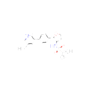 Cc1cncc(-c2ccc([C@H]3OCC[C@H]3NS(=O)(=O)C(C)C)cc2)c1